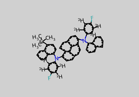 [2H]c1c([2H])c(N(c2cccc3ccccc23)c2ccc3ccc4c(N(c5c([2H])c([2H])c(F)c([2H])c5[2H])c5ccc([Si](C)(C)C)c6ccccc56)ccc5ccc2c3c54)c([2H])c([2H])c1F